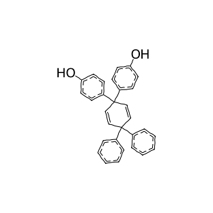 Oc1ccc(C2(c3ccc(O)cc3)C=CC(c3ccccc3)(c3ccccc3)C=C2)cc1